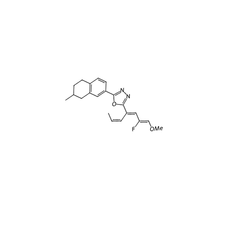 C\C=C/C(=C\C(F)=C\OC)c1nnc(-c2ccc3c(c2)CC(C)CC3)o1